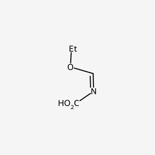 CCO/C=N\C(=O)O